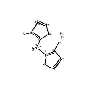 CC1=[C]([Sm+][C]2=C(C)C=CC2)CC=C1.[H-]